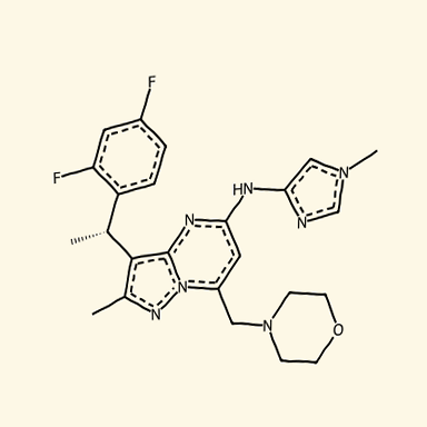 Cc1nn2c(CN3CCOCC3)cc(Nc3cn(C)cn3)nc2c1[C@H](C)c1ccc(F)cc1F